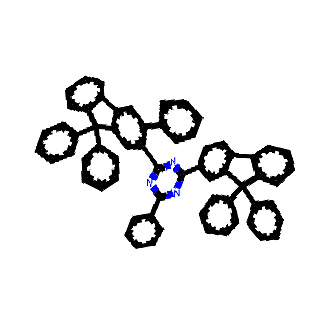 c1ccc(-c2nc(-c3ccc4c(c3)C(c3ccccc3)(c3ccccc3)c3ccccc3-4)nc(-c3cc4c(cc3-c3ccccc3)-c3ccccc3C4(c3ccccc3)c3ccccc3)n2)cc1